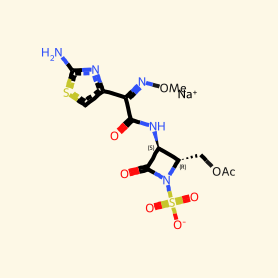 CON=C(C(=O)N[C@@H]1C(=O)N(S(=O)(=O)[O-])[C@H]1COC(C)=O)c1csc(N)n1.[Na+]